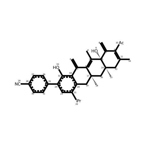 C=C1C2=C(C)[C@@]3(O)C(=C)C(C(C)=O)=C(C)C[C@@]3(C)C[C@@]2(C)Cc2c(C(C)C)cc(-c3ccc(C#N)cc3)c(O)c21